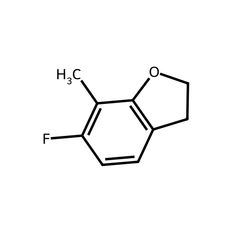 Cc1c(F)ccc2c1OCC2